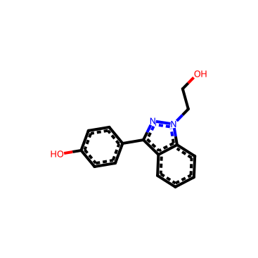 OCCn1nc(-c2ccc(O)cc2)c2ccccc21